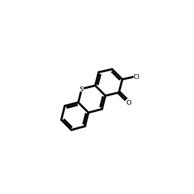 O=c1c(Cl)ccc2sc3ccccc3cc1-2